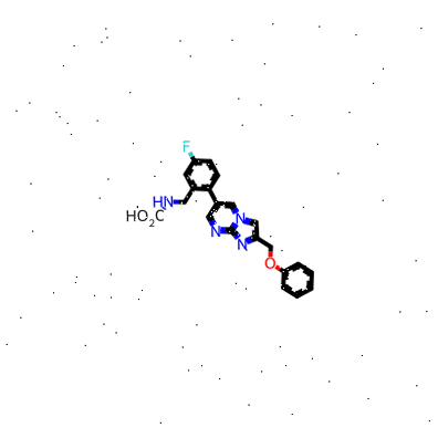 O=C(O)NCc1cc(F)ccc1-c1cnc2nc(COc3ccccc3)cn2c1